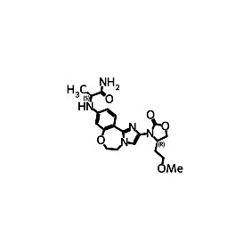 COCC[C@@H]1COC(=O)N1c1cn2c(n1)-c1ccc(N[C@@H](C)C(N)=O)cc1OCC2